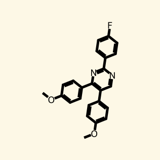 COc1ccc(-c2cnc(-c3ccc(F)cc3)nc2-c2ccc(OC)cc2)cc1